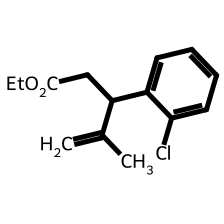 C=C(C)C(CC(=O)OCC)c1ccccc1Cl